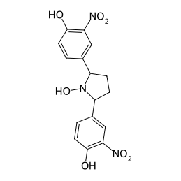 O=[N+]([O-])c1cc(C2CCC(c3ccc(O)c([N+](=O)[O-])c3)N2O)ccc1O